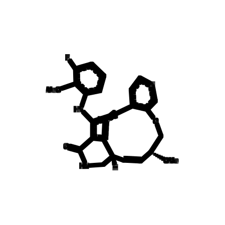 COc1c(F)cccc1Nc1c2[nH]c3c1C(=O)NC[C@H]3/C=C\[C@@H](OC)COc1cnccc1-2